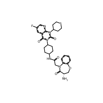 N[C@H]1COc2ccccc2N(CC(=O)NC2CCC(n3c(=O)c4cc(F)cnc4n(C4CCSCC4)c3=O)CC2)C1=O